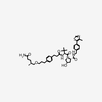 Cc1ncsc1-c1ccc(CNC(=O)[C@@H]2C[C@@H](O)CN2C(=O)[C@@H](NC(=O)CCc2ccc(CCCOC[C@@H](C)CCC(N)=O)cc2)C(C)(C)C)cc1